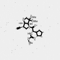 C#C[C@@H]1CN(C(=O)[C@@H](NC(=O)OC(C)(C)C)C2CCCC2)[C@H]2[C@@H]1OCC2(OC)OC